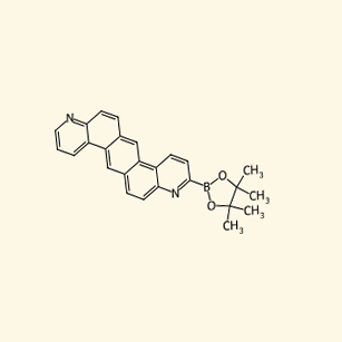 CC1(C)OB(c2ccc3c(ccc4cc5c(ccc6ncccc65)cc43)n2)OC1(C)C